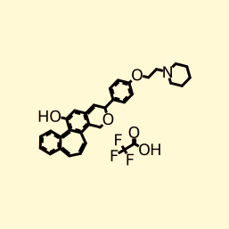 O=C(O)C(F)(F)F.Oc1cc2c(c3c1=c1ccccc1=CC=C3)COC(c1ccc(OCCN3CCCCC3)cc1)C=2